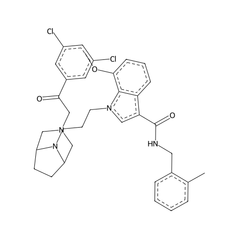 COc1cccc2c(C(=O)NCc3ccccc3C)cn(CCCN3C4CCC3CN(CC(=O)c3cc(Cl)cc(Cl)c3)C4)c12